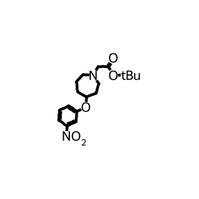 CC(C)(C)OC(=O)CN1CCCC(Oc2cccc([N+](=O)[O-])c2)CC1